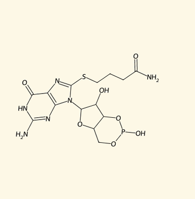 NC(=O)CCCSc1nc2c(=O)[nH]c(N)nc2n1C1OC2COP(O)OC2C1O